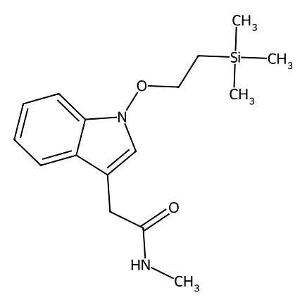 CNC(=O)Cc1cn(OCC[Si](C)(C)C)c2ccccc12